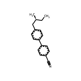 CC[C@H](C)Cc1ccc(-c2ccc(C#N)cc2)cc1